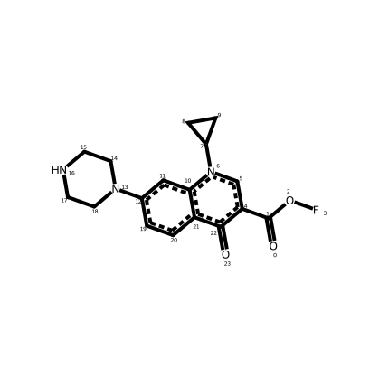 O=C(OF)c1cn(C2CC2)c2cc(N3CCNCC3)ccc2c1=O